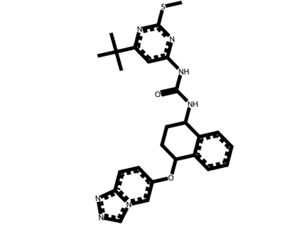 CSc1nc(NC(=O)NC2CCC(Oc3ccc4nncn4c3)c3ccccc32)cc(C(C)(C)C)n1